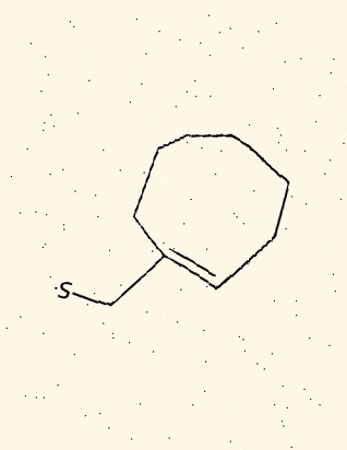 [S]CC1=CCCCCC1